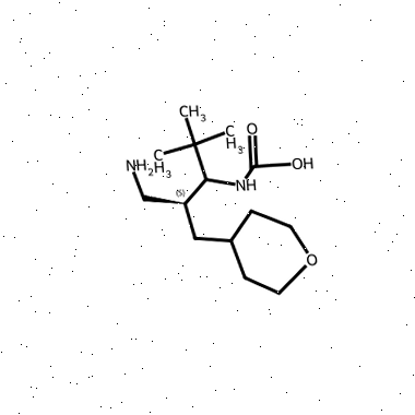 CC(C)(C)C(NC(=O)O)[C@H](CN)CC1CCOCC1